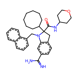 N=C(N)c1ccc2c(c1)N(Cc1cccc3ccccc13)C(C(=O)NC1CCOCC1)(C1CCCCCCC1)C2